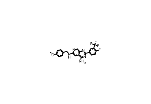 COc1ccc(CNc2cc3c(N)nc(-c4ccc(F)c(C(F)(F)F)c4)nc3cn2)cc1